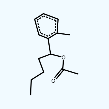 CCCCC(OC(C)=O)c1ccccc1C